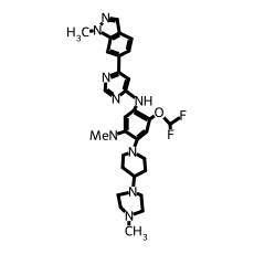 CNc1cc(Nc2cc(-c3ccc4cnn(C)c4c3)ncn2)c(OC(F)F)cc1N1CCC(N2CCN(C)CC2)CC1